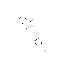 CN(C)Cc1cccc(OCCN2C(=O)c3ccccc3C2=O)c1